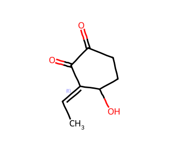 C/C=C1/C(=O)C(=O)CCC1O